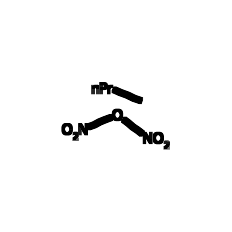 CCCC.O=[N+]([O-])O[N+](=O)[O-]